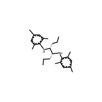 CCC[C@@H](Nc1c(C)cc(C)cc1C)[C@@H](CCC)Nc1c(C)cc(C)cc1C